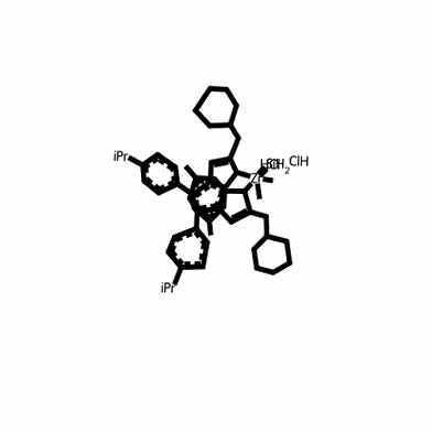 Cc1cc(-c2ccc(C(C)C)cc2)c2c(c1)[CH]([Zr]([CH3])([CH3])(=[SiH2])[CH]1C(CC3CCCCC3)=Cc3c(-c4ccc(C(C)C)cc4)cc(C)cc31)C(CC1CCCCC1)=C2.Cl.Cl